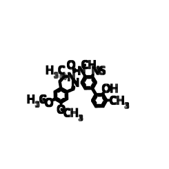 COc1cc2c(cc1OC)C[C@H](C)N(C(=O)N(C)c1ccc(-c3cccc(C)c3O)cc1N=S)N=C2